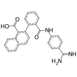 N=C(N)c1ccc(NC(=O)c2ccccc2-c2ccc3ccccc3c2C(=O)O)cc1